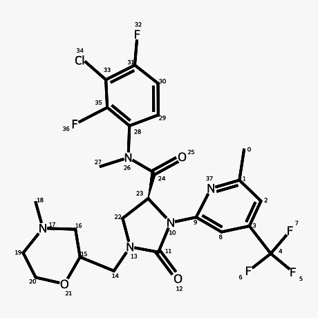 Cc1cc(C(F)(F)F)cc(N2C(=O)N(CC3CN(C)CCO3)C[C@H]2C(=O)N(C)c2ccc(F)c(Cl)c2F)n1